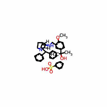 COc1ccc(C(C)(C)O)cc1CN[C@H]1C2CCN(CC2)[C@H]1C(c1ccccc1)c1ccccc1.O=S(=O)(O)c1ccccc1